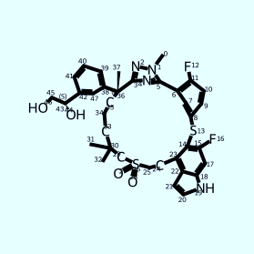 Cn1nc2nc1-c1cc(ccc1F)Sc1c(F)cc3[nH]ccc3c1CCS(=O)(=O)CC(C)(C)CCC[C@]2(C)c1cccc([C@H](O)CO)c1